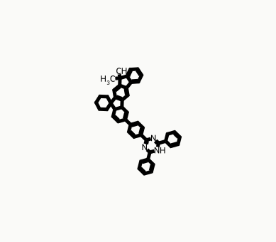 CC1(C)c2ccccc2-c2cc3c(cc21)C1(CCCCC1)C1C=CC(c2ccc(C4=NC(c5ccccc5)NC(C5C=CC=CC5)=N4)cc2)=CC31